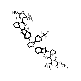 COC(=O)N[C@H](C(=O)N1CCC[C@H]1c1nc2cc([C@@H]3CC[C@@H](c4ccc5[nH]c([C@@H]6CCCN6C(=O)[C@@H](NC(=O)O)C(C)C)nc5c4)N3c3ccc(C(F)(F)F)cc3)ccc2[nH]1)C(C)C